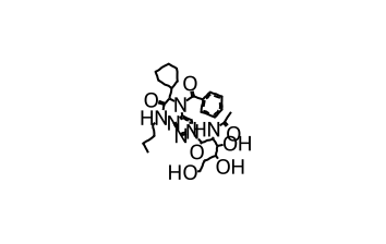 CCCCNC(=O)C(C1CCCCC1)N(C(=O)c1ccccc1)c1cn(C2OC(CO)C(O)C(O)C2NC(C)=O)nn1